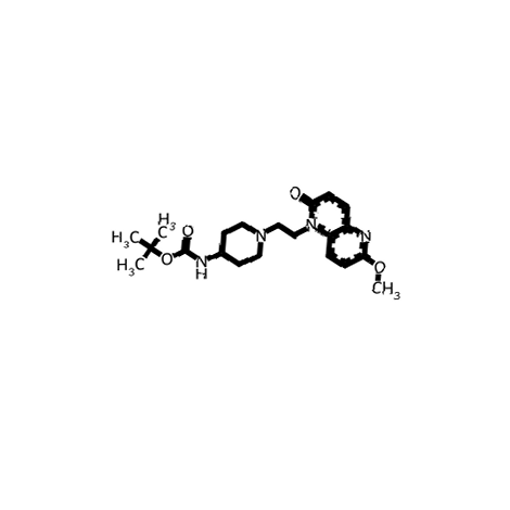 COc1ccc2c(ccc(=O)n2CCN2CCC(NC(=O)OC(C)(C)C)CC2)n1